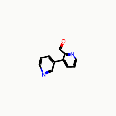 O=Cc1ncccc1-c1cccnc1